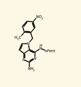 CCCCCNc1nc(N)nc2ccn(Cc3cc([N+](=O)[O-])ccc3C)c12